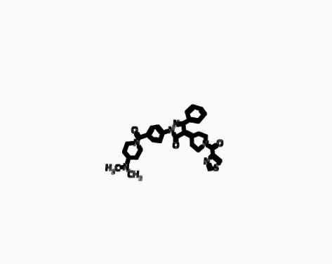 CN(C)C1CCN(C(=O)c2ccc(N3N=C(c4ccccc4)C(=C4CCN(C(=O)c5cscn5)CC4)C3=O)cc2)CC1